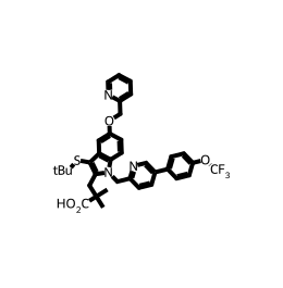 CC(C)(C)Sc1c(CC(C)(C)C(=O)O)n(Cc2ccc(-c3ccc(OC(F)(F)F)cc3)cn2)c2ccc(OCc3ccccn3)cc12